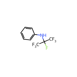 FC(F)(F)C(F)(Nc1ccccc1)C(F)(F)F